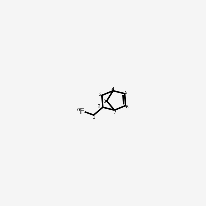 FCC1CC2C=CC1C2